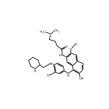 CCOc1cc2ncc(C#N)c(Nc3ccc(NCC4CCCCN4)c(Cl)c3)c2cc1NC(=O)CCCN(C)C